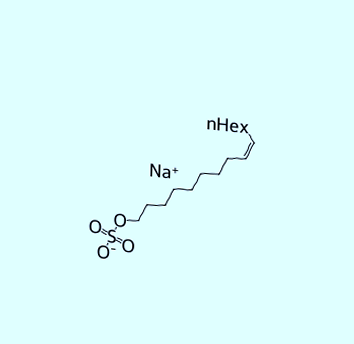 CCCCCC/C=C\CCCCCCCCOS(=O)(=O)[O-].[Na+]